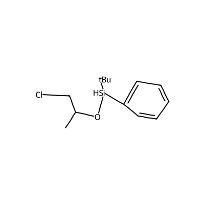 CC(CCl)O[SiH](c1ccccc1)C(C)(C)C